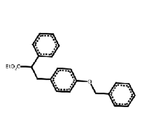 CCOC(=O)C(Cc1ccc(OCc2ccccc2)cc1)c1ccccc1